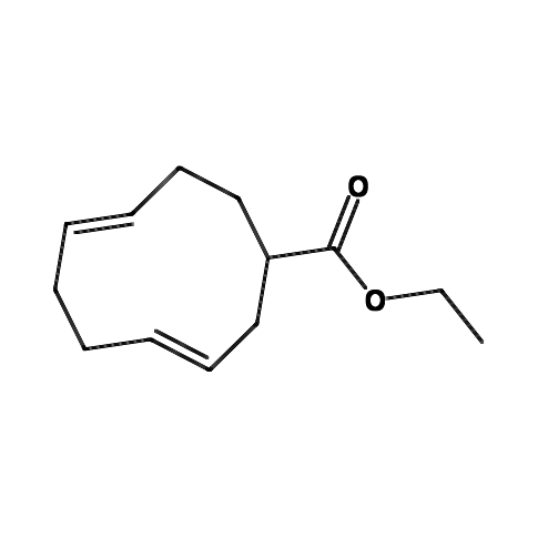 CCOC(=O)C1C/C=C/CC/C=C/CC1